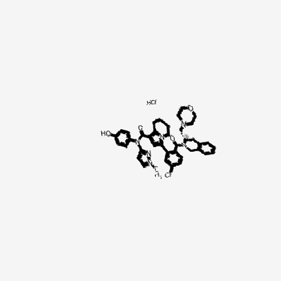 Cl.Cn1ccc(N(C(=O)c2cc(-c3cc(Cl)ccc3C(=O)N3Cc4ccccc4C[C@H]3CN3CCOCC3)n3c2CCCC3)c2ccc(O)cc2)n1